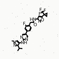 CC(C)c1nn(C)cc1Nc1ncc(-c2ccc(CC(=O)Nc3cc(C4(C(F)(F)F)CC4)on3)c(F)c2)cn1